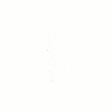 Cc1ccc(N(c2cccc3ccccc23)c2cc3c(c4ccccc24)-c2ccc(-n4c5ccc(C)cc5c5cc(C)ccc54)cc2C3(C)C)cc1